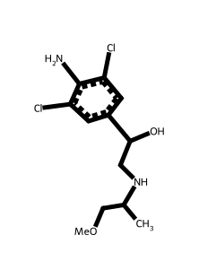 COCC(C)NCC(O)c1cc(Cl)c(N)c(Cl)c1